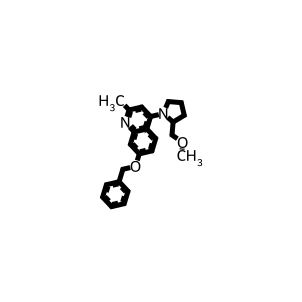 COCC1CCCN1c1cc(C)nc2cc(OCc3ccccc3)ccc12